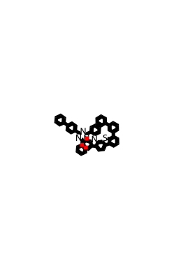 c1ccc(-c2ccc(-c3nc(-c4ccccc4)nc(-c4ccccc4-n4c5ccccc5c5ccc6c7cccc(-c8cccc(-c9ccccc9)c8)c7sc6c54)n3)cc2)cc1